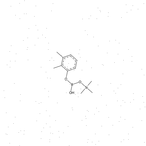 Cc1cccc(OB(O)O[Si](C)(C)C)c1C